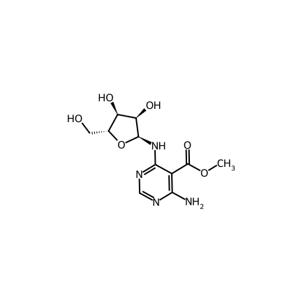 COC(=O)c1c(N)ncnc1N[C@H]1O[C@H](CO)[C@@H](O)[C@H]1O